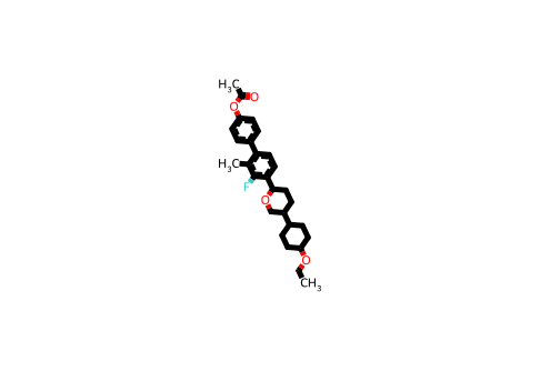 CCOC1CCC(C2CCC(c3ccc(-c4ccc(OC(C)=O)cc4)c(C)c3F)OC2)CC1